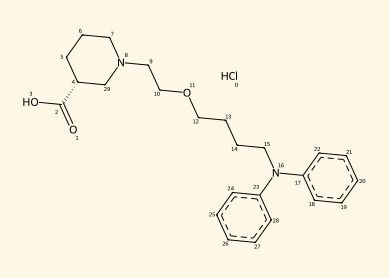 Cl.O=C(O)[C@@H]1CCCN(CCOCCCCN(c2ccccc2)c2ccccc2)C1